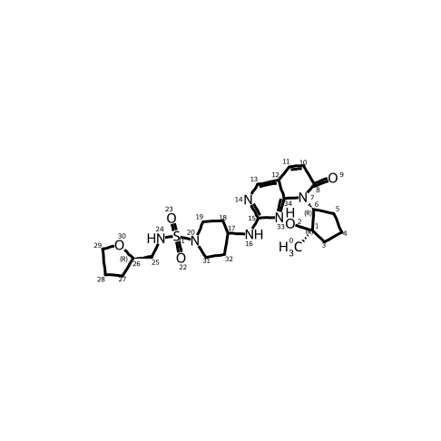 C[C@@]1(O)CCC[C@H]1n1c(=O)ccc2cnc(NC3CCN(S(=O)(=O)NC[C@H]4CCCO4)CC3)nc21